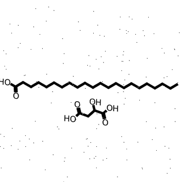 CCCCCCCCCCCCCCCCCCCCCC(=O)O.O=C(O)CC(O)C(=O)O